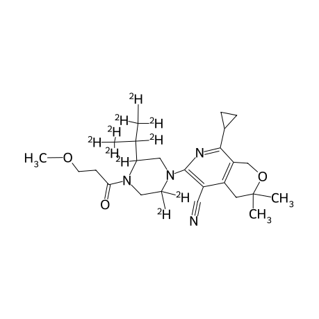 [2H]C1([2H])CN(C(=O)CCOC)C([2H])(C([2H])(C([2H])([2H])[2H])C([2H])([2H])[2H])CN1c1nc(C2CC2)c2c(c1C#N)CC(C)(C)OC2